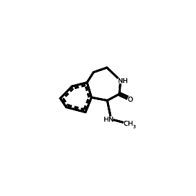 CNC1C(=O)NCCc2ccccc21